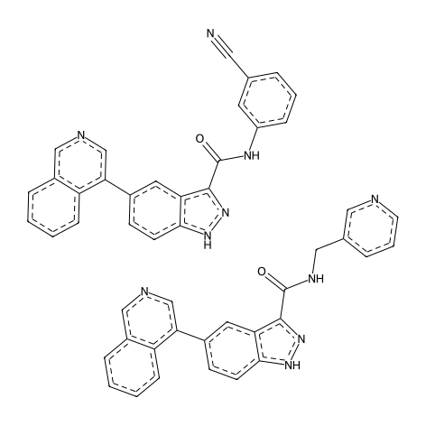 N#Cc1cccc(NC(=O)c2n[nH]c3ccc(-c4cncc5ccccc45)cc23)c1.O=C(NCc1cccnc1)c1n[nH]c2ccc(-c3cncc4ccccc34)cc12